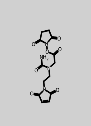 NC(=O)N(CCN1C(=O)C=CC1=O)CC(=O)ON1C(=O)CCC1=O